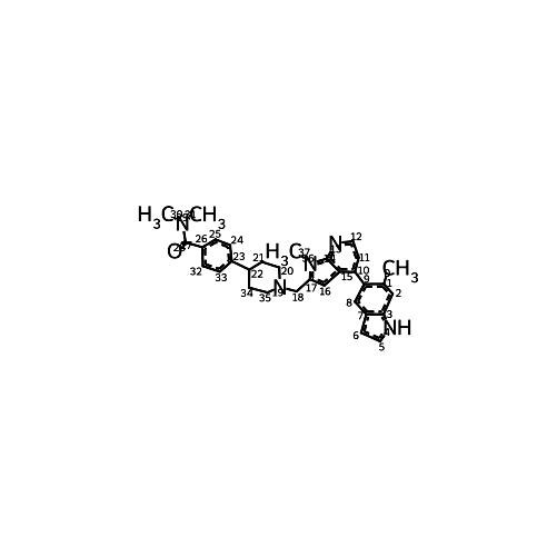 Cc1cc2[nH]ccc2cc1-c1ccnc2c1cc(CN1CCC(c3ccc(C(=O)N(C)C)cc3)CC1)n2C